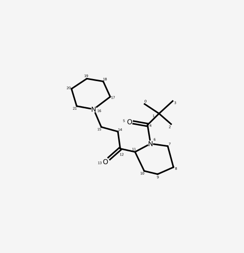 CC(C)(C)C(=O)N1CCCCC1C(=O)CCN1CCCCC1